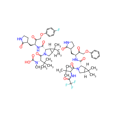 CC(C)(C)[C@H](NC(=O)C(F)(F)F)C(=O)N1C[C@H]2[C@@H]([C@H]1C(=O)N[C@@H](C[C@@H]1CCNC1=O)C(=O)COc1ccccc1)C2(C)C.CN(C(=O)O)[C@H](C(=O)N1C[C@H]2[C@@H]([C@H]1C(=O)N[C@@H](C[C@@H]1CCNC1=O)C(=O)COc1ccc(F)cc1)C2(C)C)C(C)(C)C